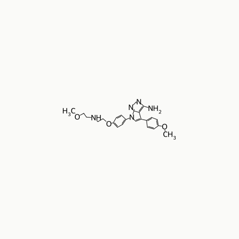 COCCNCCOc1ccc(-n2cc(-c3ccc(OC)cc3)c3c(N)ncnc32)cc1